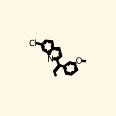 CC=C(c1cccc(OC)c1)c1ccc2ccc(Cl)cc2n1